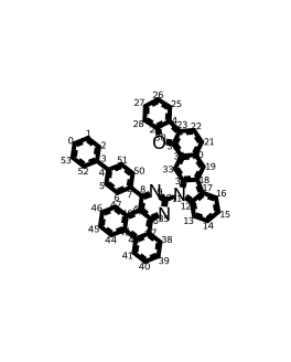 c1ccc(-c2ccc(-c3nc(-n4c5ccccc5c5cc6ccc7c8ccccc8oc7c6cc54)nc4c5ccccc5c5ccccc5c34)cc2)cc1